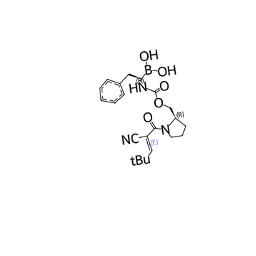 CC(C)(C)/C=C(\C#N)C(=O)N1CCC[C@@H]1COC(=O)N[C@@H](Cc1ccccc1)B(O)O